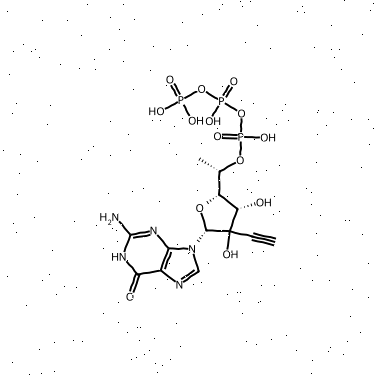 C#CC1(O)[C@@H](O)[C@@H]([C@H](C)OP(=O)(O)OP(=O)(O)OP(=O)(O)O)O[C@H]1n1cnc2c(=O)[nH]c(N)nc21